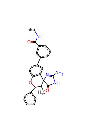 CCCCNC(=O)c1cccc(-c2ccc3c(c2)C2(N=C(N)NC2=O)C(C)C(c2ccccc2)O3)c1